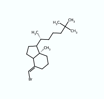 C[C@H](CCCC(C)(C)C)C1CCC2/C(=C/Br)CCC[C@@]21C